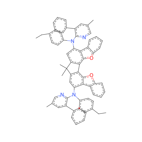 CCc1ccc(N(c2ncc(C)cc2-c2ccccc2)c2cc3c(c4oc5ccccc5c24)-c2c(cc(N(c4ccc(CC)cc4)c4ncc(C)cc4-c4ccccc4)c4c2oc2ccccc24)C3(C)C)cc1